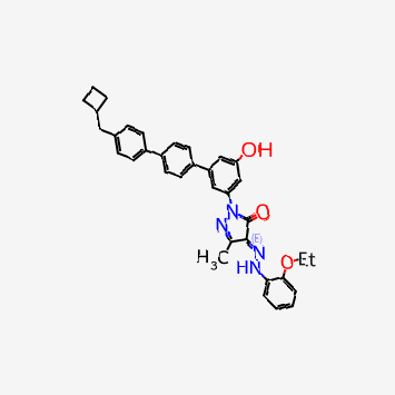 CCOc1ccccc1N/N=C1/C(=O)N(c2cc(O)cc(-c3ccc(-c4ccc(CC5CCC5)cc4)cc3)c2)N=C1C